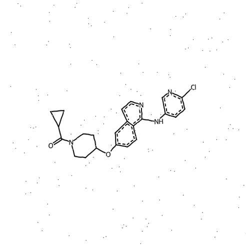 O=C(C1CC1)N1CCC(Oc2ccc3c(Nc4ccc(Cl)nc4)nccc3c2)CC1